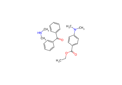 CCOC(=O)c1ccc(N(C)C)cc1.CNC.O=C(c1ccccc1)c1ccccc1